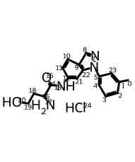 Cc1cccc(-n2ncc3ccc(NC(=O)C(N)CCO)cc32)c1.Cl